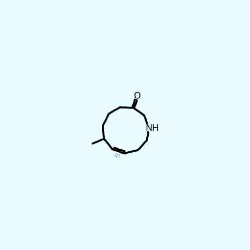 CC1/C=C\CCNCC(=O)CCC1